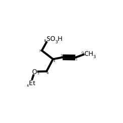 CC#CC(COCC)CS(=O)(=O)O